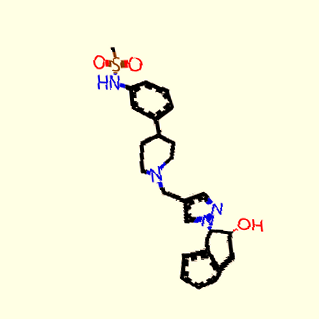 CS(=O)(=O)Nc1cccc(C2CCN(Cc3cnn([C@@H]4c5ccccc5C[C@H]4O)c3)CC2)c1